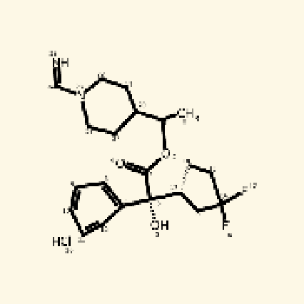 CC(OC(=O)[C@](O)(c1ccccc1)[C@@H]1CCC(F)(F)C1)C1CCN(C=N)CC1.Cl